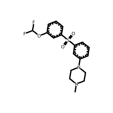 CN1CCN(c2cccc(S(=O)(=O)c3cccc(OC(F)F)c3)c2)CC1